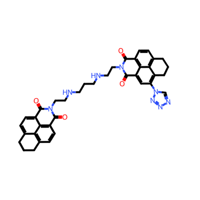 O=C1c2ccc3c4c(ccc(c24)C(=O)N1CCNCCCNCCN1C(=O)c2ccc4c5c(c(-n6cnnn6)cc(c25)C1=O)CCC4)CCC3